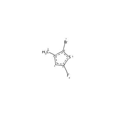 Cc1cc(F)sc1Br